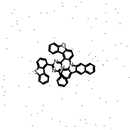 c1ccc(-c2nc(-c3c(-n4c5ccccc5c5cc6ccccc6cc54)ccc4oc5ccccc5c34)nc(-c3cccc4sc5ccccc5c34)n2)cc1